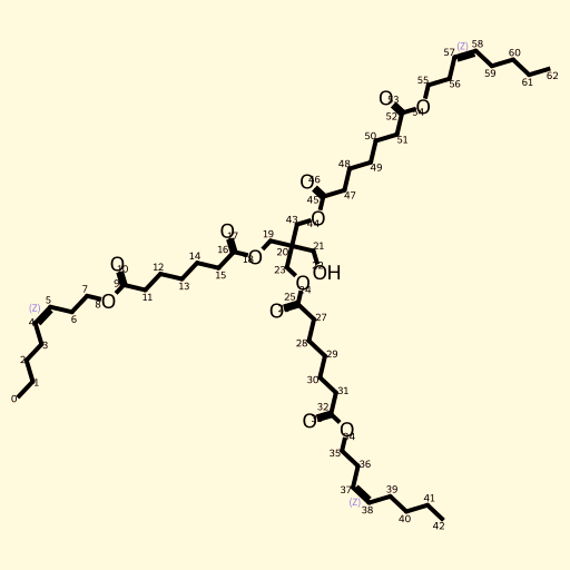 CCCC/C=C\CCOC(=O)CCCCCC(=O)OCC(CO)(COC(=O)CCCCCC(=O)OCC/C=C\CCCC)COC(=O)CCCCCC(=O)OCC/C=C\CCCC